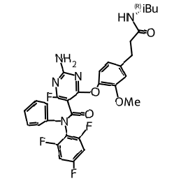 CC[C@@H](C)NC(=O)CCc1ccc(Oc2nc(N)nc(F)c2C(=O)N(c2ccccc2)c2c(F)cc(F)cc2F)c(OC)c1